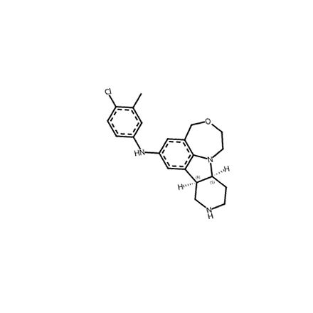 Cc1cc(Nc2cc3c4c(c2)[C@@H]2CNCC[C@@H]2N4CCOC3)ccc1Cl